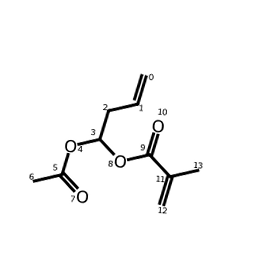 C=CCC(OC(C)=O)OC(=O)C(=C)C